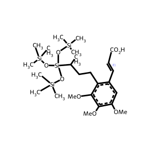 COc1cc(/C=C/C(=O)O)c(CCC(C)[Si](O[Si](C)(C)C)(O[Si](C)(C)C)O[Si](C)(C)C)c(OC)c1OC